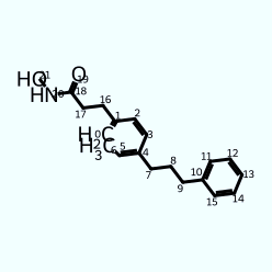 C=C(/C=C\C(=C/C)CCCc1ccccc1)CCC(=O)NO